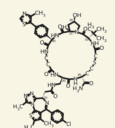 Cc1ncsc1-c1ccc([C@H]2NC(=O)[C@@H]3C[C@@H](O)CN3C(=O)[C@H](C(C)(C)C)NC(=O)CSCC[C@H](C(N)=O)NC(=O)[C@@H](CNC(=O)C[C@@H]3N=C(c4ccc(Cl)cc4)c4c(sc(C)c4C)-n4c(C)nnc43)NC(=O)CCNC2=O)cc1